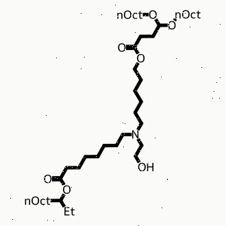 CCCCCCCCOC(CCC(=O)OCCCCCCN(CCO)CCCCCCCC(=O)OC(CC)CCCCCCCC)OCCCCCCCC